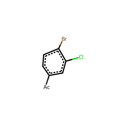 CC(=O)c1ccc(Br)c(Cl)c1